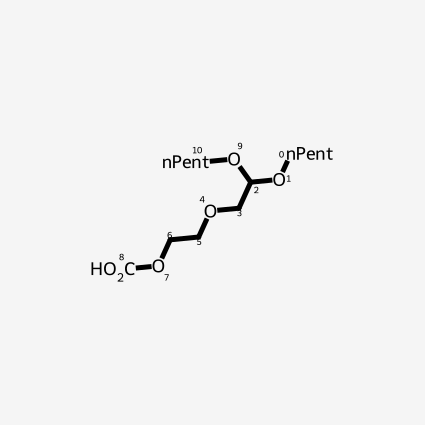 CCCCCOC(COCCOC(=O)O)OCCCCC